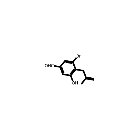 C=C(C)Cc1c(O)cc(C=O)cc1Br